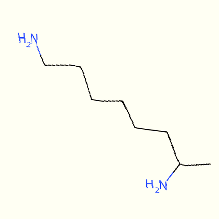 CC(N)CCCCCCN